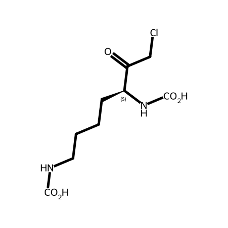 O=C(O)NCCCC[C@H](NC(=O)O)C(=O)CCl